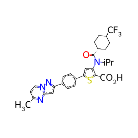 Cc1ccn2nc(-c3ccc(-c4cc(N(C(=O)[C@H]5CC[C@H](C(F)(F)F)CC5)C(C)C)c(C(=O)O)s4)cc3)cc2n1